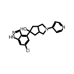 OC1(c2cc(Cl)cc3[nH]ncc23)CC2CN(c3ccncc3)CC2C1